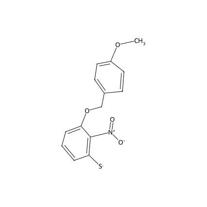 COc1ccc(COc2cccc([S])c2[N+](=O)[O-])cc1